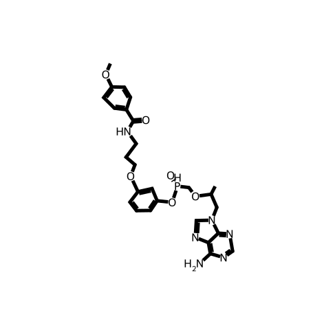 COc1ccc(C(=O)NCCCOc2cccc(O[PH](=O)COC(C)Cn3cnc4c(N)ncnc43)c2)cc1